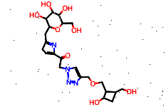 O=C(Cn1cc(COCC2C(O)CC2CO)nn1)C1=CCC(CC2OC(CO)C(O)C(O)C2O)=N1